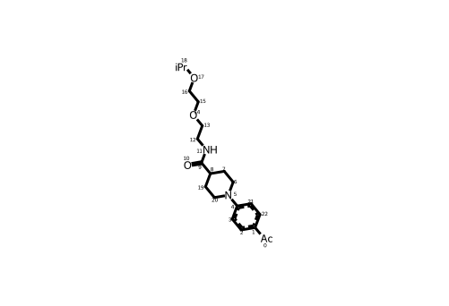 CC(=O)c1ccc(N2CCC(C(=O)NCCOCCOC(C)C)CC2)cc1